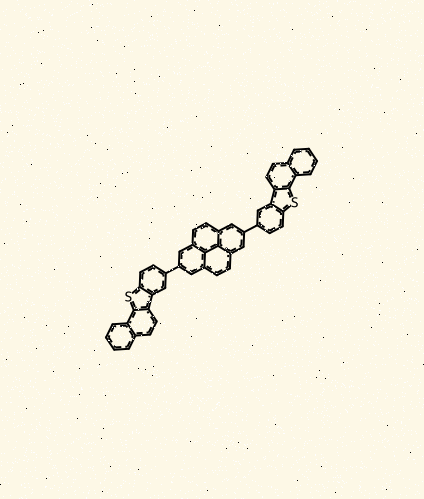 c1ccc2c(c1)ccc1c3cc(-c4cc5ccc6cc(-c7ccc8sc9c%10ccccc%10ccc9c8c7)cc7ccc(c4)c5c67)ccc3sc21